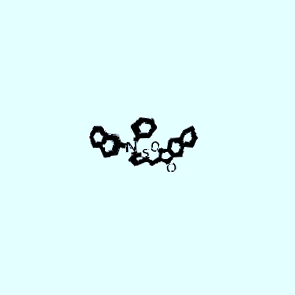 O=C1C(=Cc2ccc(N(c3ccccc3)c3ccc4ccccc4c3)s2)C(=O)c2cc3ccccc3cc21